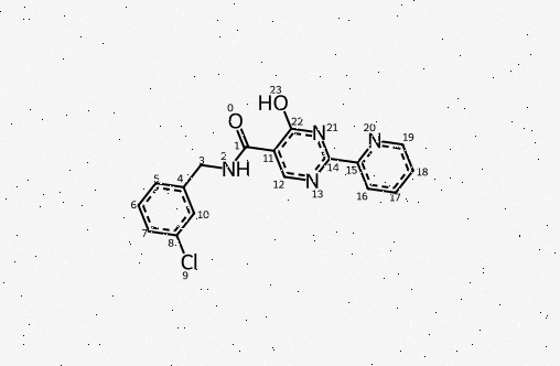 O=C(NCc1cccc(Cl)c1)c1cnc(-c2ccccn2)nc1O